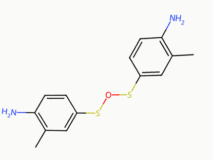 Cc1cc(SOSc2ccc(N)c(C)c2)ccc1N